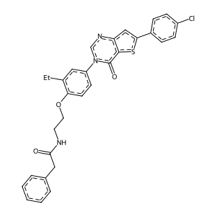 CCc1cc(-n2cnc3cc(-c4ccc(Cl)cc4)sc3c2=O)ccc1OCCNC(=O)Cc1ccccc1